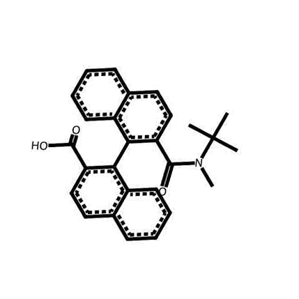 CN(C(=O)c1ccc2ccccc2c1-c1c(C(=O)O)ccc2ccccc12)C(C)(C)C